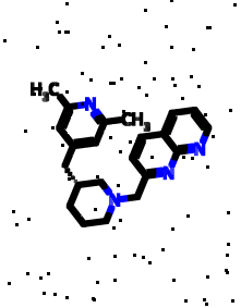 Cc1cc(C[C@H]2CCCN(Cc3ccc4cccnc4n3)C2)cc(C)n1